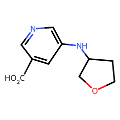 O=C(O)c1cncc(NC2CCOC2)c1